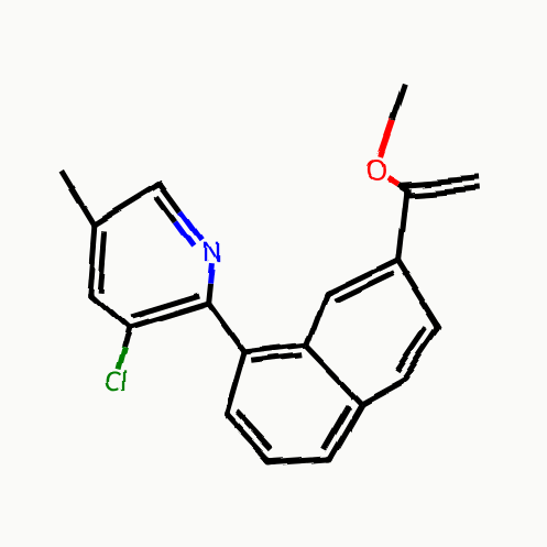 C=C(OC)c1ccc2cccc(-c3ncc(C)cc3Cl)c2c1